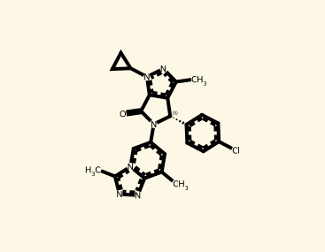 Cc1nn(C2CC2)c2c1[C@H](c1ccc(Cl)cc1)N(c1cc(C)c3nnc(C)n3c1)C2=O